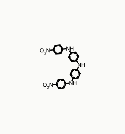 O=[N+]([O-])c1ccc(Nc2ccc(Nc3ccc(Nc4ccc([N+](=O)[O-])cc4)cc3)cc2)cc1